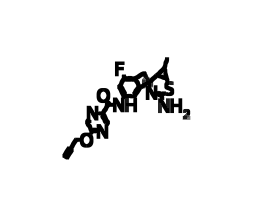 C#CCOc1cnc(C(=O)Nc2cc(F)c3c(c2)[C@@]2(C3)N=C(N)SC3C(C)C32)cn1